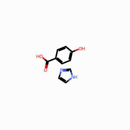 O=C(O)c1ccc(O)cc1.c1c[nH]cn1